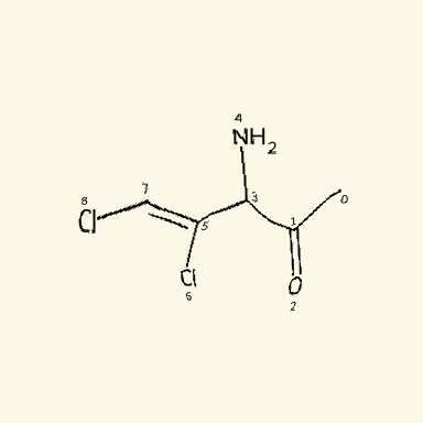 CC(=O)C(N)C(Cl)=CCl